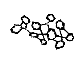 c1ccc(N2c3ccccc3C3(c4cc5c(cc42)C2(c4ccccc4-c4ccccc42)c2ccccc2-5)c2cccnc2-c2ncc(-n4c5ccccc5c5ncccc54)cc23)cc1